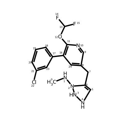 CNN1NNC=C1Cc1cnc(OC(F)F)c(-c2cccc(Cl)c2)c1